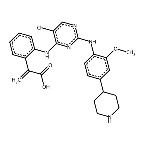 C=C(C(=O)O)c1ccccc1Nc1nc(Nc2ccc(C3CCNCC3)cc2OC)ncc1Cl